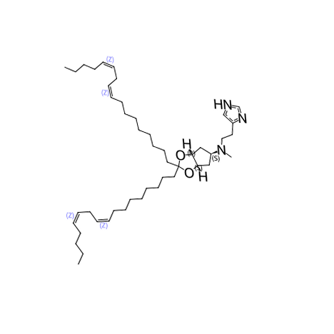 CCCC/C=C\C/C=C\CCCCCCCCC1(CCCCCCCC/C=C\C/C=C\CCCC)O[C@H]2C[C@H](N(C)CCc3c[nH]cn3)C[C@H]2O1